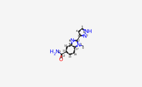 Cn1c(-c2cc[nH]n2)nc2cc(C(N)=O)ccc21